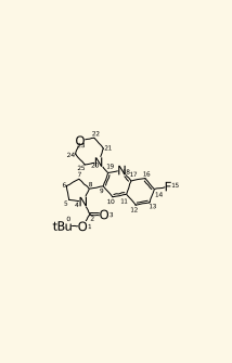 CC(C)(C)OC(=O)N1CCCC1c1cc2ccc(F)cc2nc1N1CCOCC1